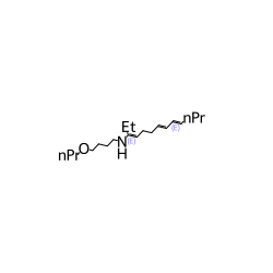 CCC/C=C/C=CCC/C=C(\CC)NCCCCOCCC